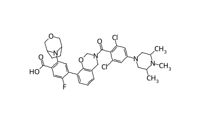 CC1CN(c2cc(Cl)c(C(=O)N3COc4c(cccc4-c4cc(N5C6CCC5COC6)c(C(=O)O)cc4F)C3)c(Cl)c2)CC(C)N1C